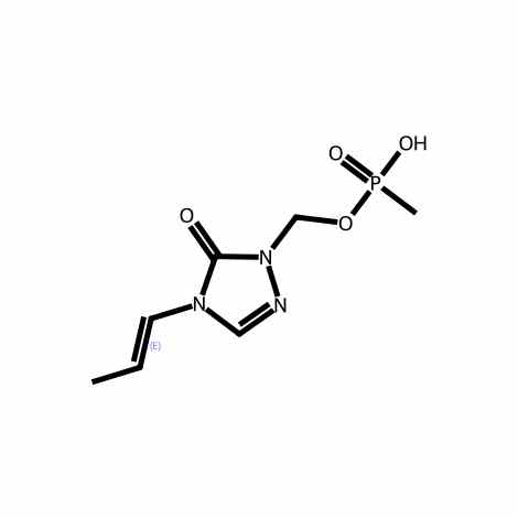 C/C=C/n1cnn(COP(C)(=O)O)c1=O